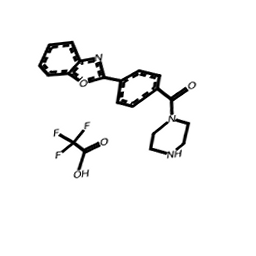 O=C(O)C(F)(F)F.O=C(c1ccc(-c2nc3ccccc3o2)cc1)N1CCNCC1